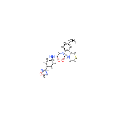 Cc1ccc(N(CC(=O)Nc2ccc(-c3ncon3)cc2)C(=O)N2CCSCC2)cc1